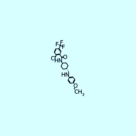 CCOc1ccc(NC[C@H]2CC[C@H](NC(=O)c3cc(C(F)(F)F)ccc3Cl)CC2)cc1